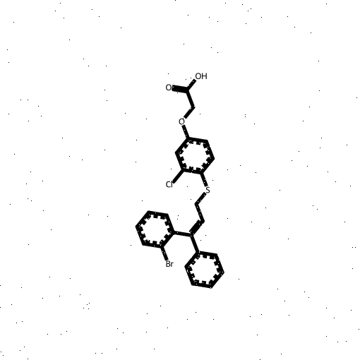 O=C(O)COc1ccc(SC/C=C(/c2ccccc2)c2ccccc2Br)c(Cl)c1